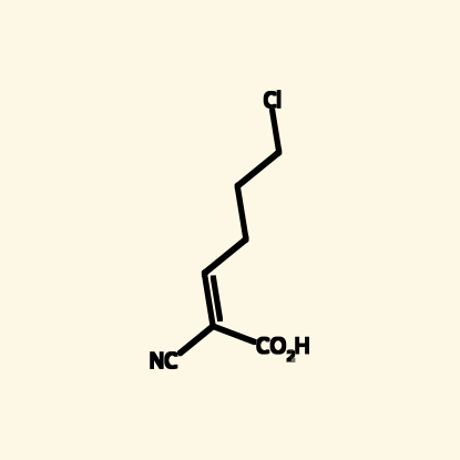 N#CC(=CCCCCl)C(=O)O